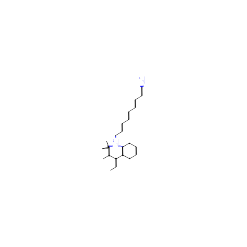 CCC1C2CCCCC2N(CCCCCCCCC#N)C(C)(C)C1C